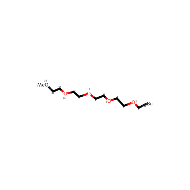 CCC(C)COCCOCCOCCOCCOC